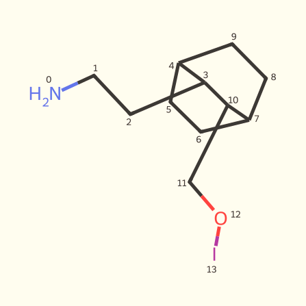 NCCC1C2CCC(CC2)C1COI